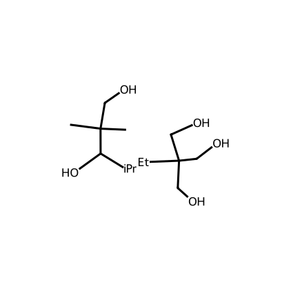 CC(C)C(O)C(C)(C)CO.CCC(CO)(CO)CO